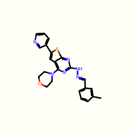 Cc1cccc(/C=N/Nc2nc(N3CCOCC3)c3cc(-c4cccnc4)sc3n2)c1